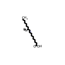 CCCCCCCC(/C=C/CCCCCCCC(=O)O)N=O